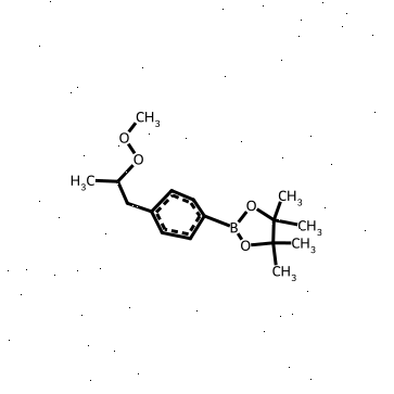 COOC(C)Cc1ccc(B2OC(C)(C)C(C)(C)O2)cc1